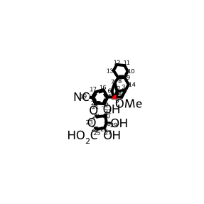 CO/C(=C1\C2CCCC1C1=C(CCCC1)C2)c1ccc(C#N)c(O[C@@H]2OC(C(=O)O)[C@@H](O)[C@H](O)C2O)c1